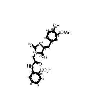 COc1cc(/C=C2\SC(=O)N(CC(=O)Nc3ccccc3C(=O)O)C2=O)ccc1O